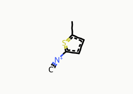 [C-]#[N+]c1ccc(C)s1